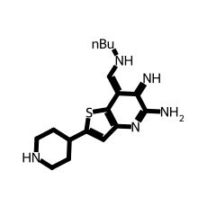 CCCCN/C=C1\C(=N)C(N)=Nc2cc(C3CCNCC3)sc21